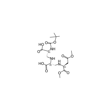 COC(=O)C[C@H](NC[C@@H](NC[C@@H](NC(=O)OC(C)(C)C)C(=O)O)C(=O)O)C(=O)OC